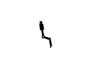 N#COSF